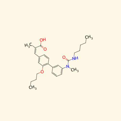 CCCCCNC(=O)N(C)c1cccc(-c2ccc(C=C(C)C(=O)O)cc2OCCCC)c1